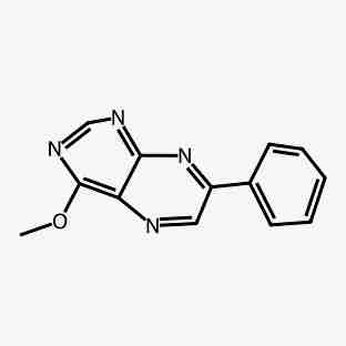 COc1ncnc2nc(-c3ccccc3)cnc12